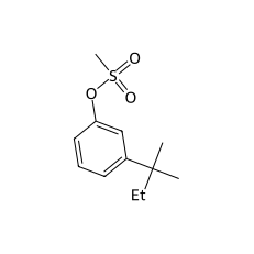 CCC(C)(C)c1cccc(OS(C)(=O)=O)c1